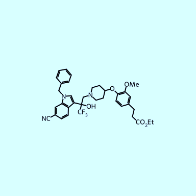 CCOC(=O)CCc1ccc(OC2CCN(CC(O)(c3cn(Cc4ccccc4)c4cc(C#N)ccc34)C(F)(F)F)CC2)c(OC)c1